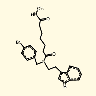 O=C(CCCCCC(=O)N(CCc1c[nH]c2ccccc12)Cc1ccc(Br)cc1)NO